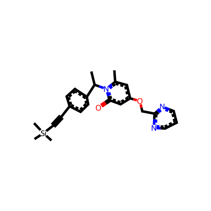 Cc1cc(OCc2ncccn2)cc(=O)n1C(C)c1ccc(C#C[Si](C)(C)C)cc1